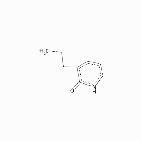 [CH2]CCc1ccc[nH]c1=O